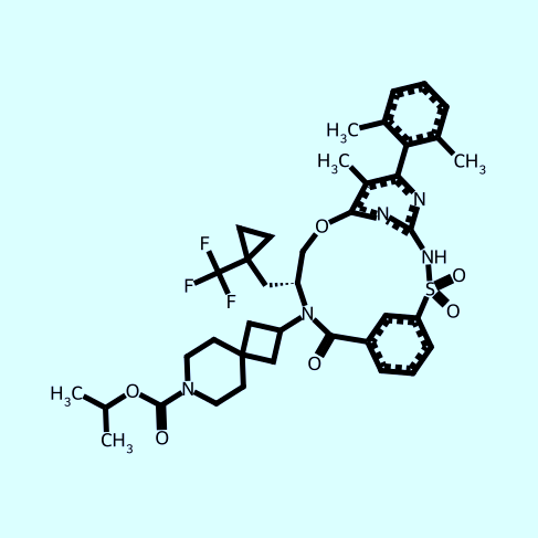 Cc1cccc(C)c1-c1nc2nc(c1C)OC[C@@H](CC1(C(F)(F)F)CC1)N(C1CC3(CCN(C(=O)OC(C)C)CC3)C1)C(=O)c1cccc(c1)S(=O)(=O)N2